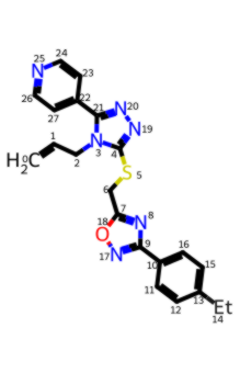 C=CCn1c(SCc2nc(-c3ccc(CC)cc3)no2)nnc1-c1ccncc1